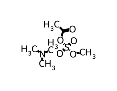 CN(C)C.COS(=O)(=O)OC(C)=O